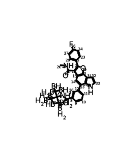 BC(B)(B)C1(NC(=O)c2cccc(-c3cc4c(C(=O)NC)c(-c5ccc(F)cc5)oc4c4cc[nH]c34)c2)C(B)(B)BC1(B)B